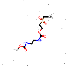 C=CS(=O)(=O)CCOC(=O)NCCNC(=O)OC(C)(C)C